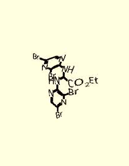 CCOC(=O)C(Nc1ncc(Br)nc1Br)Nc1ncc(Br)nc1Br